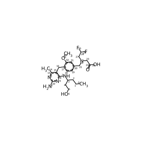 CCCC(CCO)Nc1nc(N)nc(C)c1Cc1ccc(CN(CC(=O)O)CC(F)F)cc1OC